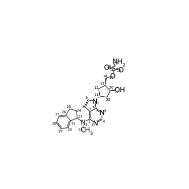 CN(c1ncnc2c1ccn2[C@@H]1C[C@@H](COS(N)(=O)=O)[C@@H](O)C1)C1CCc2ccccc21